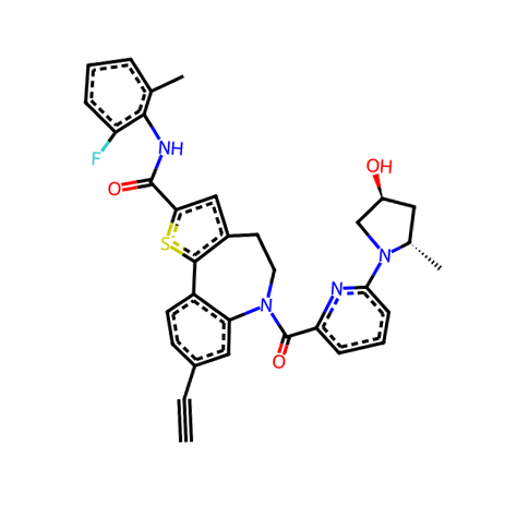 C#Cc1ccc2c(c1)N(C(=O)c1cccc(N3C[C@@H](O)C[C@@H]3C)n1)CCc1cc(C(=O)Nc3c(C)cccc3F)sc1-2